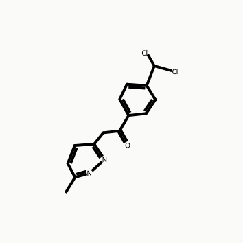 Cc1ccc(CC(=O)c2ccc(C(Cl)Cl)cc2)nn1